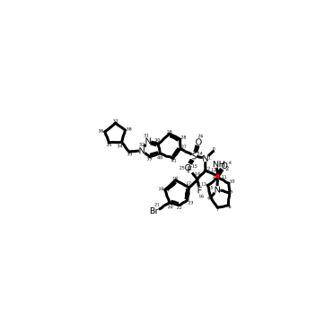 CN(C(C(=O)N1C2CCC1CC(N)C2)C(F)(F)c1ccc(Br)cc1)S(=O)(=O)c1ccc2nn(CC3CCCC3)cc2c1